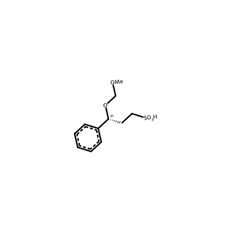 COCO[C@H](CCS(=O)(=O)O)c1ccccc1